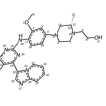 COc1cc(N2CCN(CCO)[C@@H](C)C2)ccc1Nc1ncc(F)c(-c2cnc3ccccn23)n1